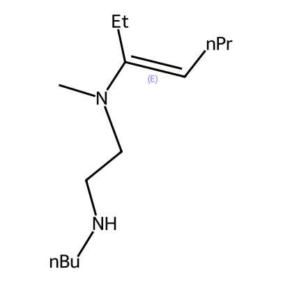 CCC/C=C(\CC)N(C)CCNCCCC